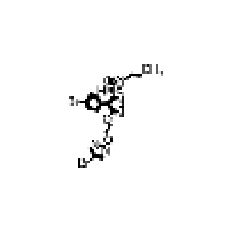 CCCCNS(=O)(=O)Nc1ncnc(OCCOc2ncc(Br)cn2)c1-c1ccc(Br)cc1